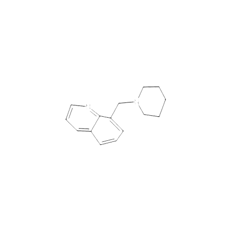 c1cnc2c(CN3CCCCC3)cccc2c1